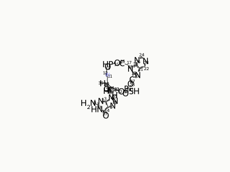 Nc1nc2c(nnn2[C@@H]2O[C@@H]3/C=C/OPOCCn4c(nc5cncnc54)COP(=O)(S)O[C@@H]2[C@@H]3F)c(=O)[nH]1